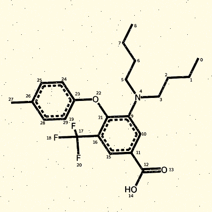 CCCCN(CCCC)c1cc(C(=O)O)cc(C(F)(F)F)c1Oc1ccc(C)cc1